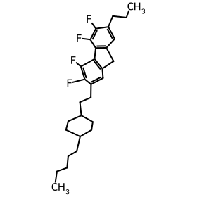 CCCCCC1CCC(CCc2cc3c(c(F)c2F)-c2c(cc(CCC)c(F)c2F)C3)CC1